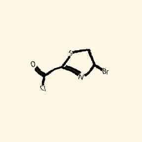 O=C(Cl)C1=NC(Br)CS1